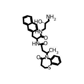 CC(CC(=O)NC(Cc1ccc2ccccc2c1)C(=O)NC[C@H](O)CN)N1C(=O)CCSc2ccccc21